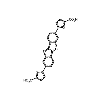 O=C(O)c1ccc(-c2ccc3c(c2)sc2c4ccc(-c5ccc(C(=O)O)s5)cc4sc32)s1